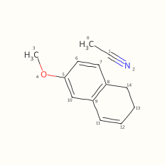 CC#N.COc1ccc2c(c1)C=CCC2